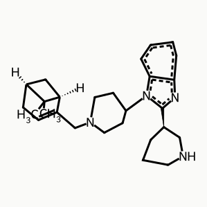 CC1(C)[C@H]2CC=C(CN3CCC(n4c([C@@H]5CCCNC5)nc5ccccc54)CC3)[C@@H]1C2